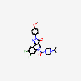 COc1ccc(-n2nc3c4cc(F)c(F)cc4n(C(=O)N4CCN(C(C)C)CC4)cc-3c2=O)cc1